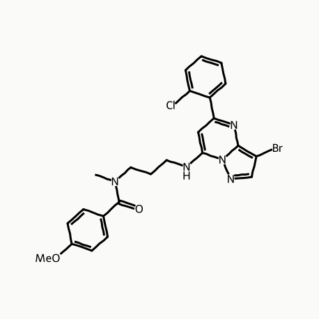 COc1ccc(C(=O)N(C)CCCNc2cc(-c3ccccc3Cl)nc3c(Br)cnn23)cc1